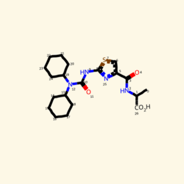 CC(NC(=O)c1csc(NC(=O)N(C2CCCCC2)C2CCCCC2)n1)C(=O)O